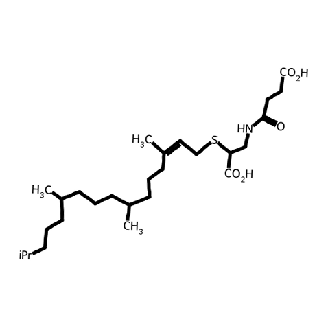 CC(=CCSC(CNC(=O)CCC(=O)O)C(=O)O)CCCC(C)CCCC(C)CCCC(C)C